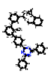 CC(=C=Cc1ccccc1C1CC1)c1cccc(-c2cccc(-c3ccc(-c4nc(-c5ccccc5)nc(-c5ccccc5)n4)cc3)c2C#N)c1